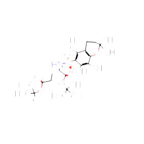 Cc1c(C)c(S(=O)(=O)N[C@@H](CCC(=O)OC(C)(C)C)C(=O)OC(C)(C)C)c(C)c2c1OC(C)(C)CC2